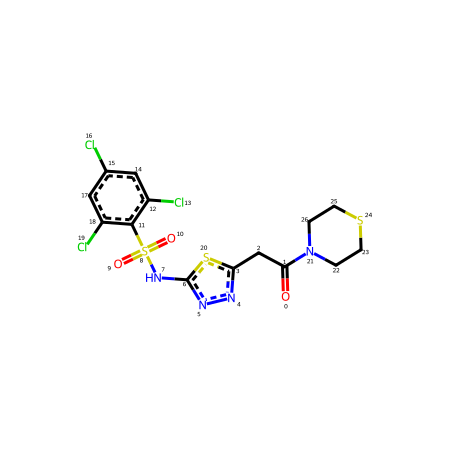 O=C(Cc1nnc(NS(=O)(=O)c2c(Cl)cc(Cl)cc2Cl)s1)N1CCSCC1